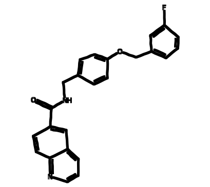 O=C(NCc1ccc(OCc2cccc(F)c2)cc1)c1ccc2ncccc2c1